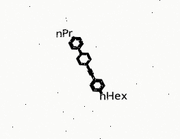 CCCCCCc1ccc(C#CC2CCC(c3ccc(CCC)cc3)CC2)cc1